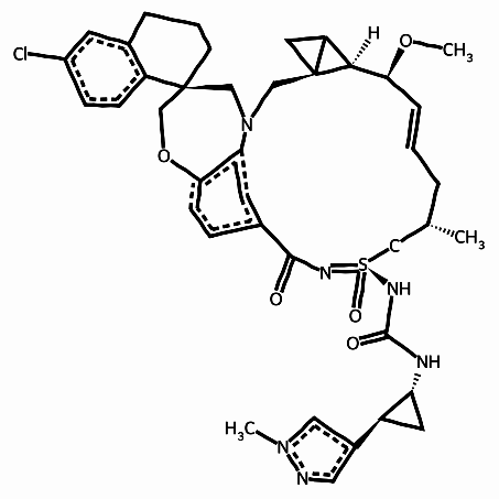 CO[C@H]1/C=C/C[C@H](C)C[S@@](=O)(NC(=O)N[C@@H]2C[C@H]2c2cnn(C)c2)=NC(=O)c2ccc3c(c2)N(C[C@@]2(CCCc4cc(Cl)ccc42)CO3)C[C@@]23CC2[C@@H]13